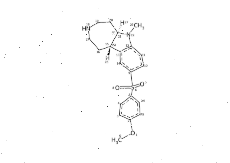 COc1ccc(S(=O)(=O)c2ccc3c(c2)[C@@H]2CCNCC[C@H]2N3C)cc1